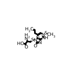 C=CCC1=CN(SC)Nc2nc(=O)n(SCC(N)C(=O)O)n21